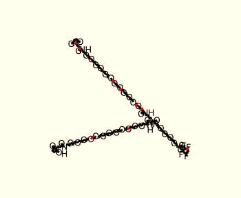 O=C(CCOCCOCCOCCOCCOCCOCCOCCOCCOCCOCCOCCOCCNC(=O)CCN1C(=O)C=CC1=O)NCCCC[C@H](NC(=O)CCOCCOCCOCCOCCOCCOCCOCCOCCOCCOCCOCCOCCNC(=O)CCN1C(=O)C=CC1=O)C(=O)NCCOCCOCCOCCOCCC(=O)Oc1c(F)c(F)cc(F)c1F